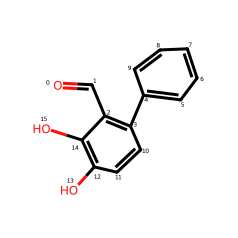 O=Cc1c(-c2ccccc2)ccc(O)c1O